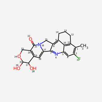 Cc1c(F)cc2nc3c(c4c2c1CCC4)Cn1c-3cc2c(c1=O)COC(O)C2O